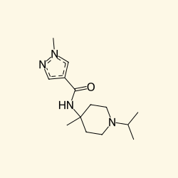 CC(C)N1CCC(C)(NC(=O)c2cnn(C)c2)CC1